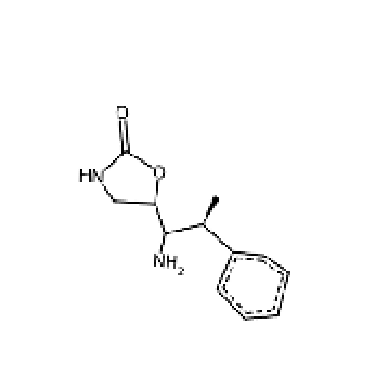 C[C@@H](c1ccccc1)C(N)C1CNC(=O)O1